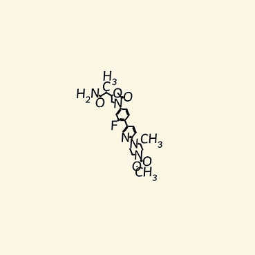 COC(=O)N1CCN(c2ccc(-c3ccc(N4CC(C(C)C(N)=O)OC4=O)cc3F)cn2)C(C)C1